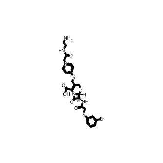 NCCNC(=O)C[n+]1ccc(SCC2=C(C(=O)O)N3C(=O)[C@H](NC(=O)CSc4cccc(Br)c4)[C@H]3SC2)cc1